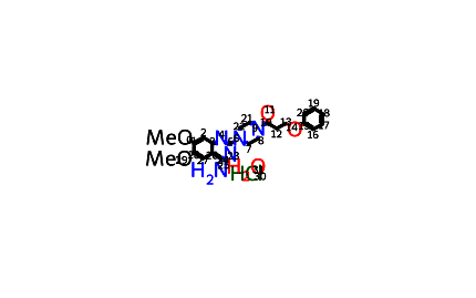 COc1cc2nc(N3CCN(C(=O)CCOc4ccccc4)CC3)nc(N)c2cc1OC.Cl.O